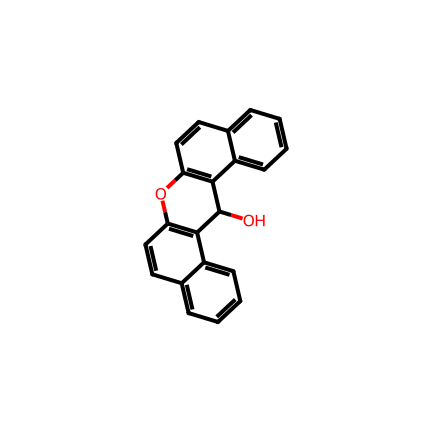 OC1c2c(ccc3ccccc23)Oc2ccc3ccccc3c21